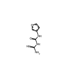 N=C(N)NC(=O)Nc1ccoc1